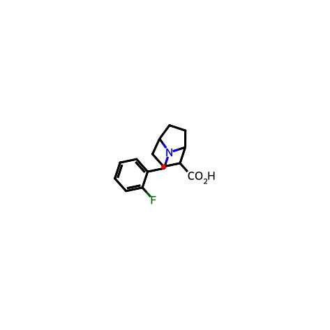 O=C(O)C1CCC2CCC1N2Cc1ccccc1F